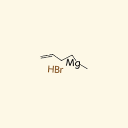 Br.C=CC[CH2][Mg][CH3]